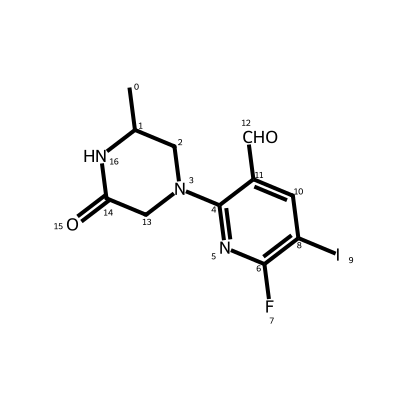 CC1CN(c2nc(F)c(I)cc2C=O)CC(=O)N1